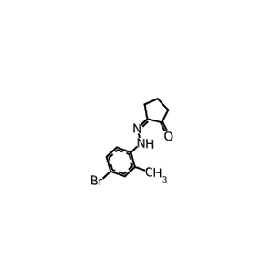 Cc1cc(Br)ccc1NN=C1CCCC1=O